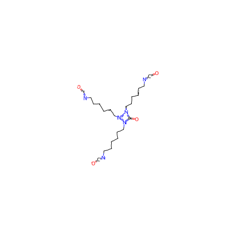 O=C=NCCCCCCn1c(=O)n(CCCCCCN=C=O)n1CCCCCCN=C=O